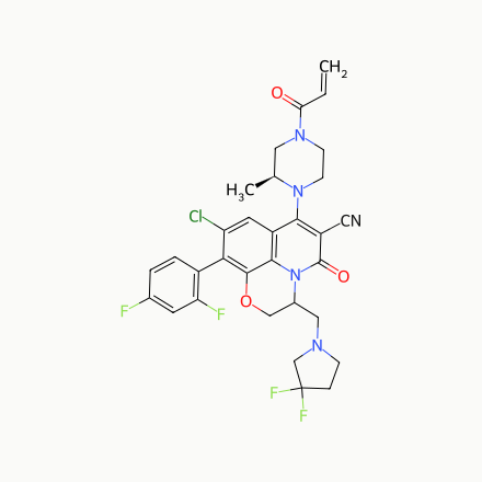 C=CC(=O)N1CCN(c2c(C#N)c(=O)n3c4c(c(-c5ccc(F)cc5F)c(Cl)cc24)OCC3CN2CCC(F)(F)C2)[C@@H](C)C1